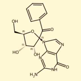 Nc1nc2c(ncn2[C@]2(C(=O)c3ccccc3)O[C@H](CO)[C@@H](O)[C@H]2O)c(=O)[nH]1